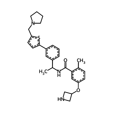 Cc1ccc(OC2CNC2)cc1C(=O)NC(C)c1cccc(-c2ccc(CN3CCCC3)s2)c1